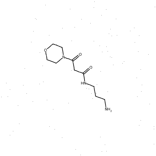 NCCCNC(=O)CC(=O)N1CCOCC1